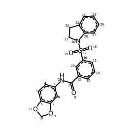 O=C(Nc1ccc2c(c1)OCO2)c1cccc(S(=O)(=O)N2CCc3ccccc32)c1